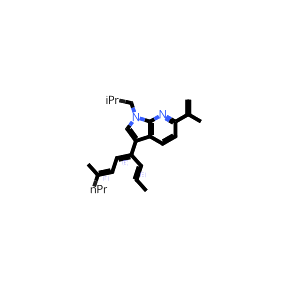 C=C(C)c1ccc2c(C(/C=C/C)=C/C=C(\C)CCC)cn(CC(C)C)c2n1